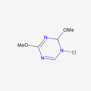 COC1=NC(OC)N(Cl)C=N1